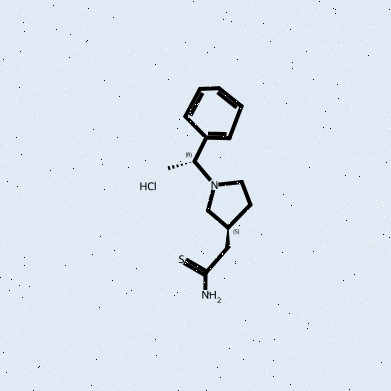 C[C@H](c1ccccc1)N1CC[C@@H](CC(N)=S)C1.Cl